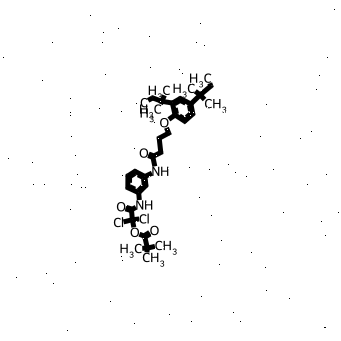 CCC(C)(C)c1ccc(OCCCC(=O)Nc2cccc(NC(=O)C(Cl)(Cl)OC(=O)C(C)(C)C)c2)c(C(C)(C)CC)c1